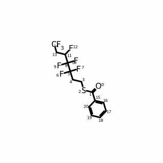 O=C(SCCC(F)(F)C(F)(F)C(F)CC(F)(F)F)c1ccccc1